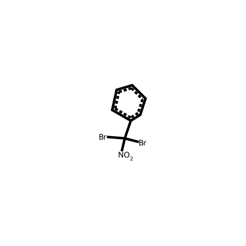 O=[N+]([O-])C(Br)(Br)c1ccccc1